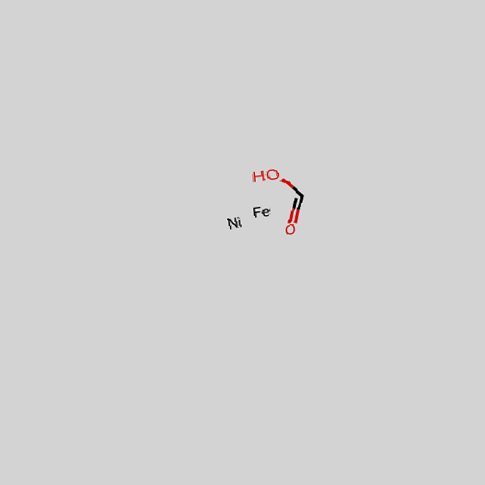 O=CO.[Fe].[Ni]